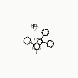 Cc1nc(N2CCCCC2)c2[nH]c(-c3ccccc3)c(-c3ccccc3)c2n1.Cl.O